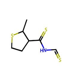 CC1SCCC1C(=S)NC=S